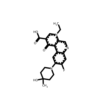 CCn1cc(C(=O)O)c(=O)c2c3cc(N4CCC(C)(O)CC4)c(F)cc3ncc21